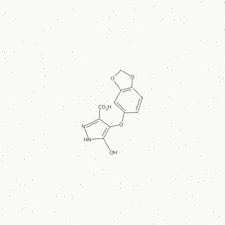 O=C(O)c1n[nH]c(O)c1Oc1ccc2c(c1)OCO2